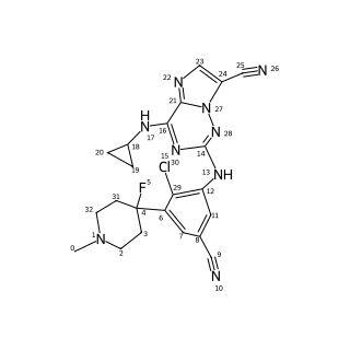 CN1CCC(F)(c2cc(C#N)cc(Nc3nc(NC4CC4)c4ncc(C#N)n4n3)c2Cl)CC1